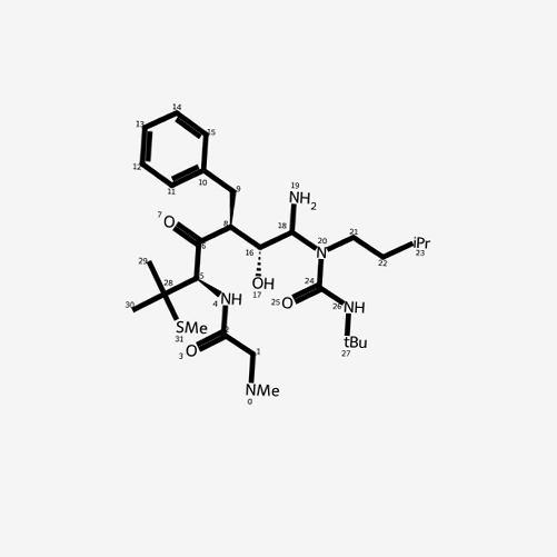 CNCC(=O)N[C@H](C(=O)[C@@H](Cc1ccccc1)[C@@H](O)C(N)N(CCC(C)C)C(=O)NC(C)(C)C)C(C)(C)SC